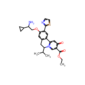 CCOC(=O)c1cn2c(cc1=O)-c1cc(-c3nccs3)c(OCC(N)C3CC3)cc1CC2C(C)C